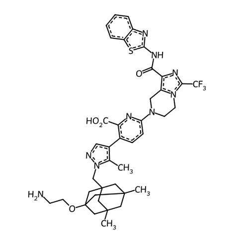 Cc1c(-c2ccc(N3CCn4c(C(F)(F)F)nc(C(=O)Nc5nc6ccccc6s5)c4C3)nc2C(=O)O)cnn1CC12CC3(C)CC(C)(C1)CC(OCCN)(C3)C2